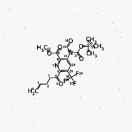 C=CCCC(=O)c1nc(C(=O)OC)c(N(C=O)C(=O)OC(C)(C)C)cc1C(F)(F)F